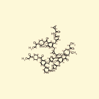 C=CC(=O)N1CCN(C(=O)c2ccc(-c3ccnc(Nc4ncc(Sc5cc(C(=O)N6CCCN(C(=O)C=C)[C@H](C)C6)c(OC)cc5C)s4)c3)c(Cc3cnc(NC(=O)C4CC4Cc4cc(OC)c(C(=O)N5CCN(C(=O)C=C)CC5)cc4Cc4cnc(NC(=O)C5CC5)s4)s3)c2)CC1